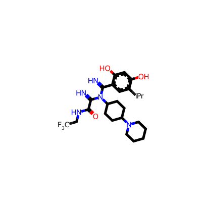 CC(C)c1cc(C(=N)N(C(=N)C(=O)NCC(F)(F)F)C2CCC(N3CCCCC3)CC2)c(O)cc1O